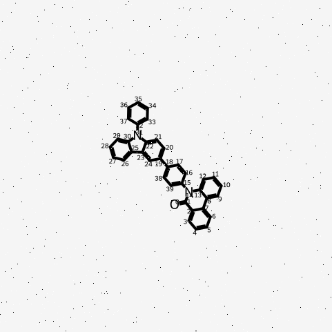 O=c1c2ccccc2c2ccccc2n1-c1ccc(-c2ccc3c(c2)c2ccccc2n3-c2ccccc2)cc1